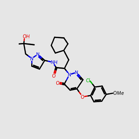 COc1ccc(Oc2cnn(C(CC3CCCCC3)C(=O)Nc3ccn(CC(C)(C)O)n3)c(=O)c2)c(Cl)c1